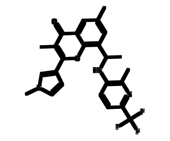 Cc1cc(C(C)Nc2ccc(C(F)(F)F)nc2C)c2oc(-c3ccn(C)c3)c(C)c(=O)c2c1